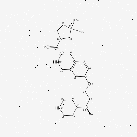 C[C@H](CCOc1ccc2c(c1)CN[C@H](C(=O)N1CCC(F)(F)C1)C2)C1CCNCC1